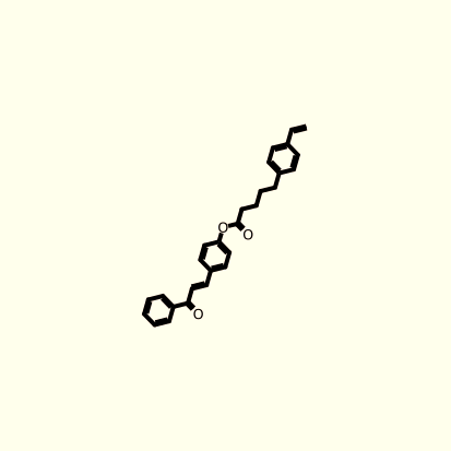 C=Cc1ccc(CCCCC(=O)Oc2ccc(C=CC(=O)c3ccccc3)cc2)cc1